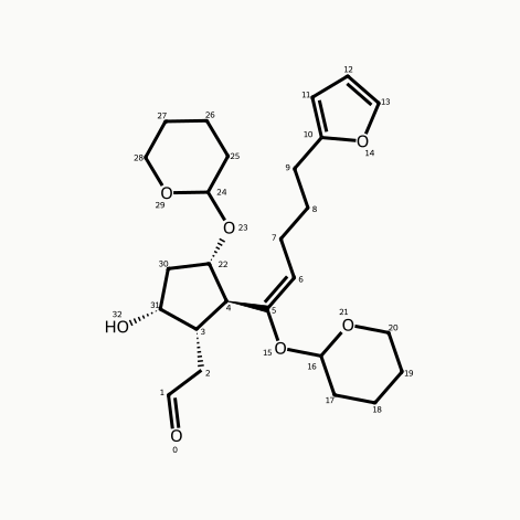 O=CC[C@H]1[C@H](C(=CCCCc2ccco2)OC2CCCCO2)[C@@H](OC2CCCCO2)C[C@H]1O